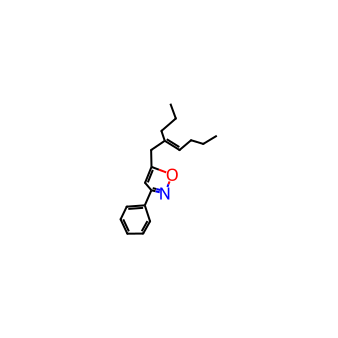 CCCC=C(CCC)Cc1cc(-c2ccccc2)no1